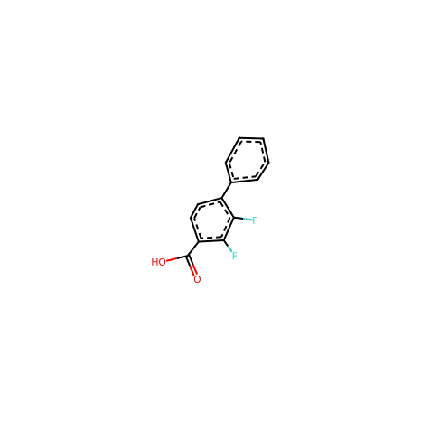 O=C(O)c1ccc(-c2ccccc2)c(F)c1F